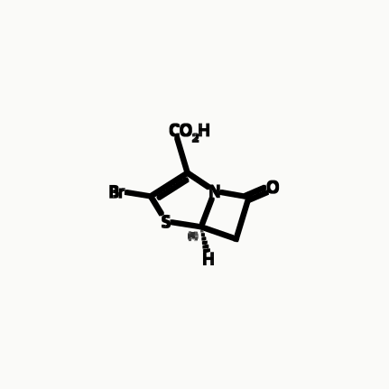 O=C(O)C1=C(Br)S[C@@H]2CC(=O)N12